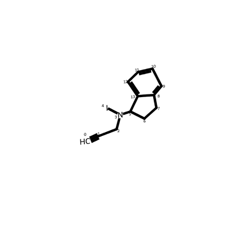 C#CCN(I)C1CCc2ccccc21